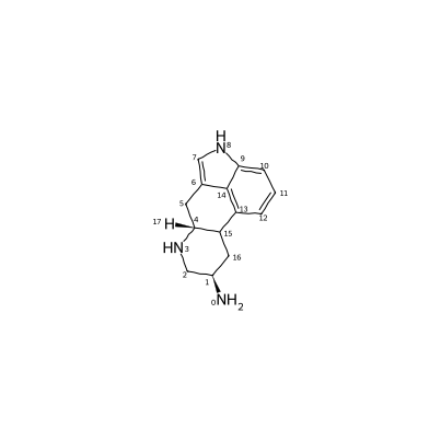 N[C@H]1CN[C@@H]2Cc3c[nH]c4cccc(c34)C2C1